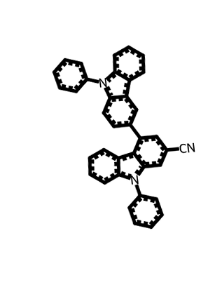 N#Cc1cc(-c2ccc3c(c2)c2ccccc2n3-c2ccccc2)c2c3ccccc3n(-c3ccccc3)c2c1